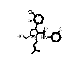 CC(C)=CCN1C(C(=O)Nc2cccc(Cl)c2)C(c2cccc(Cl)c2F)C[C@@H]1CO